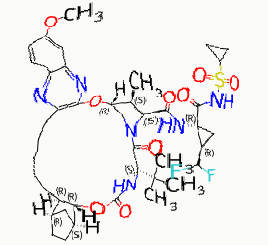 COc1ccc2nc3c(nc2c1)O[C@H]1CN(C(=O)[C@H](C(C)(C)C)NC(=O)O[C@@H]2[C@H]4CC[C@H](C4)[C@H]2CCCCC3)[C@H](C(=O)N[C@]2(C(=O)NS(=O)(=O)C3CC3)C[C@H]2C(F)F)[C@@H]1C